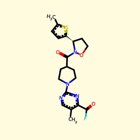 Cc1ccc([C@@H]2CCON2C(=O)C2CCN(c3ncc(C)c(C(=O)F)n3)CC2)s1